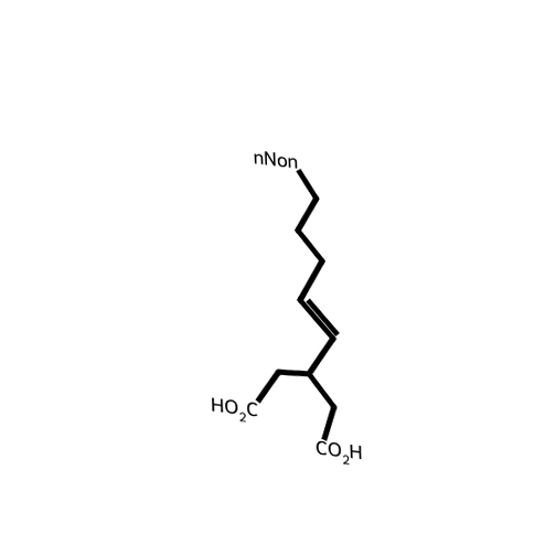 CCCCCCCCCCCCC=CC(CC(=O)O)CC(=O)O